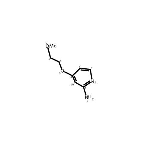 COCCOc1ccnc(N)c1